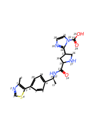 Cc1ncsc1-c1ccc([C@H](C)NC(=O)C2CC(c3nccn3C(=O)O)CN2)cc1